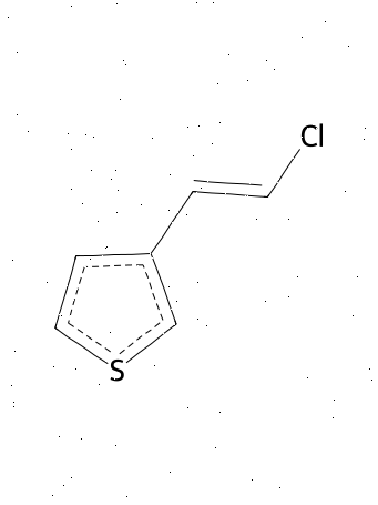 ClC=Cc1ccsc1